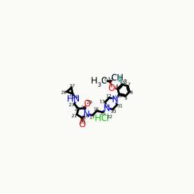 CC(C)Oc1c(F)cccc1N1CCN(CCCN2C(=O)CC(CNC3CC3)C2=O)CC1.Cl